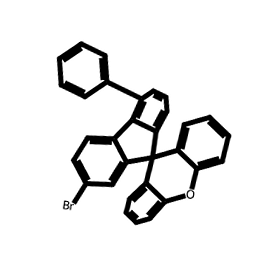 Brc1ccc2c(c1)C1(c3ccccc3Oc3ccccc31)c1cccc(-c3ccccc3)c1-2